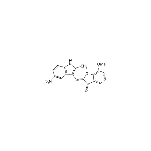 COc1cccc2c1OC(=Cc1c(C)[nH]c3ccc([N+](=O)[O-])cc13)C2=O